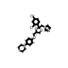 Clc1ccc(C2(Cn3ccnc3)OCC(COc3ccc(N4CCSCC4)cc3)O2)c(Cl)c1